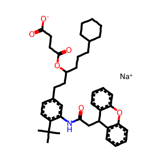 CC(C)(C)c1ccc(CCC(CCCC2CCCCC2)OC(=O)CCC(=O)[O-])cc1NC(=O)CC1c2ccccc2Oc2ccccc21.[Na+]